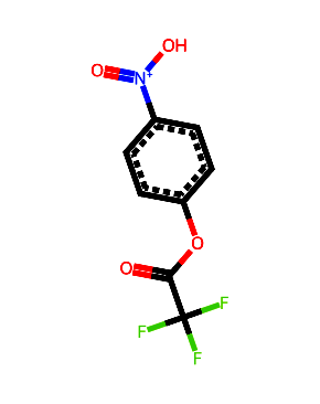 O=C(Oc1ccc([N+](=O)O)cc1)C(F)(F)F